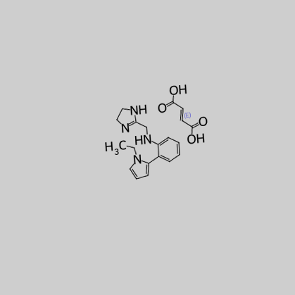 CCn1cccc1-c1ccccc1NCC1=NCCN1.O=C(O)/C=C/C(=O)O